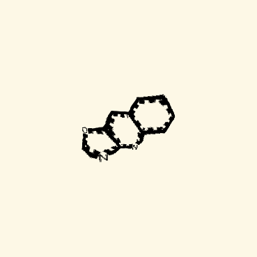 c1ccc2nc3ncoc3cc2c1